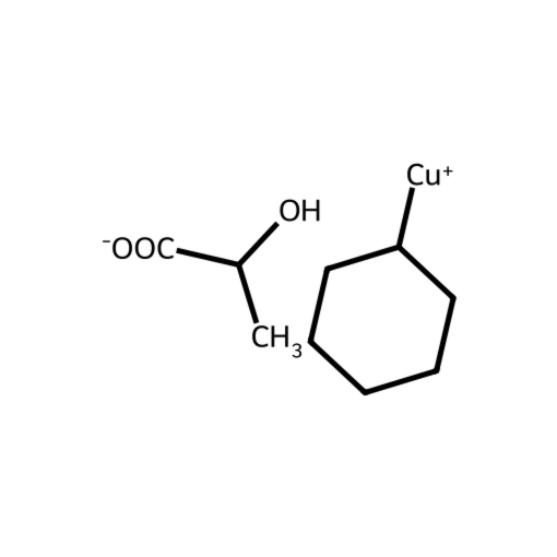 CC(O)C(=O)[O-].[Cu+][CH]1CCCCC1